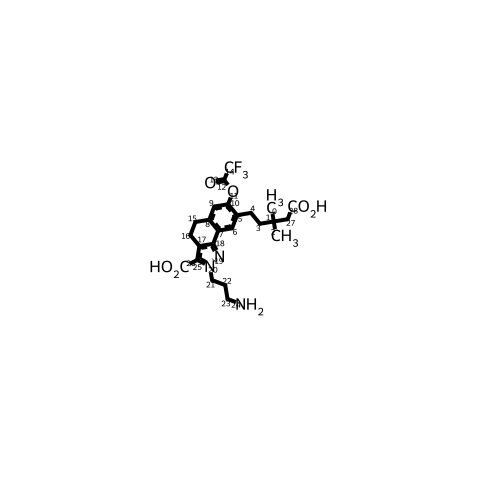 CC(C)(CCc1cc2c(cc1OC(=O)C(F)(F)F)CCc1c-2nn(CCCN)c1C(=O)O)CC(=O)O